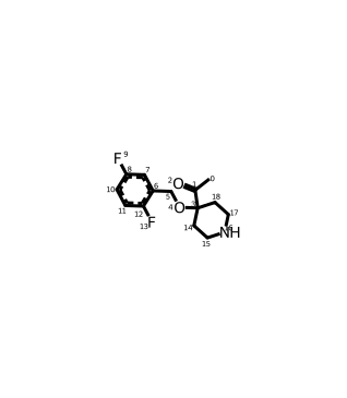 CC(=O)C1(OCc2cc(F)ccc2F)CCNCC1